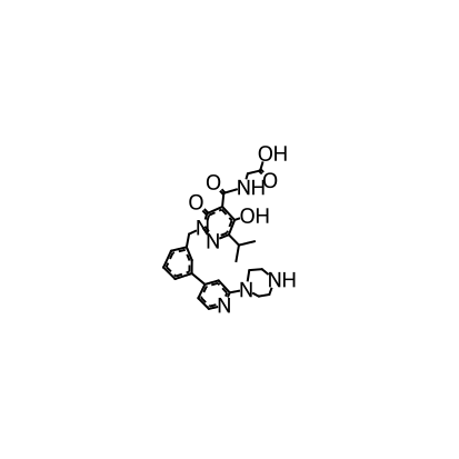 CC(C)c1nn(Cc2cccc(-c3ccnc(N4CCNCC4)c3)c2)c(=O)c(C(=O)NCC(=O)O)c1O